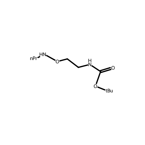 CCCNOCCNC(=O)OC(C)(C)C